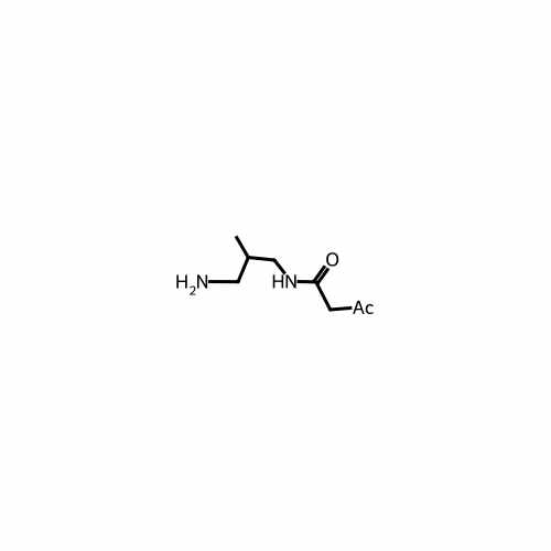 CC(=O)CC(=O)NCC(C)CN